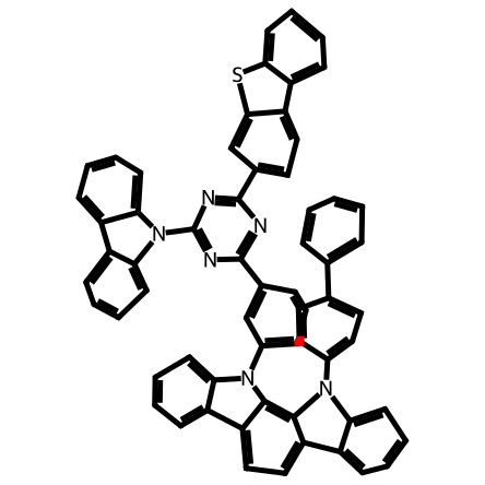 c1ccc(-c2ccc(-n3c4ccccc4c4ccc5c6ccccc6n(-c6cccc(-c7nc(-c8ccc9c(c8)sc8ccccc89)nc(-n8c9ccccc9c9ccccc98)n7)c6)c5c43)cc2)cc1